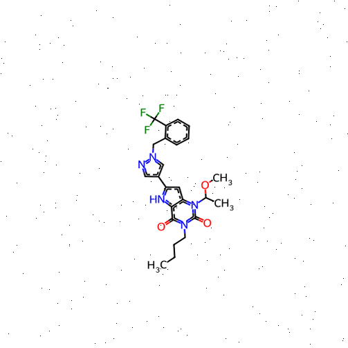 CCCCn1c(=O)c2[nH]c(-c3cnn(Cc4ccccc4C(F)(F)F)c3)cc2n(C(C)OC)c1=O